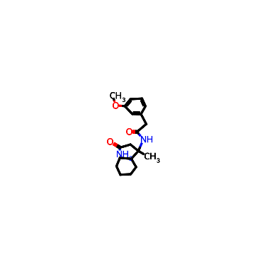 COc1cccc(CC(=O)NC(C)(CC(N)=O)C2CCCCC2)c1